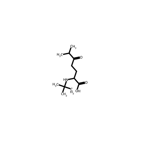 CC(C)C(=O)CCC(NC(C)(C)C)C(=O)O